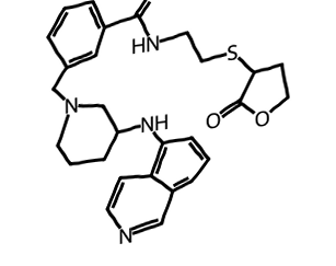 O=C(NCCSC1CCOC1=O)c1cccc(CN2CCCC(Nc3cccc4cnccc34)C2)c1